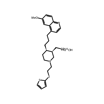 COc1ccc2nccc(CCC[C@@H]3CCN(CCSc4cccs4)C[C@@H]3CC(=O)O)c2c1.Cl.Cl